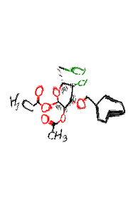 CC(=O)O[C@H]1O[C@H](CCl)[C@@H](Cl)[C@H](OCc2ccccc2)[C@H]1OC(C)=O